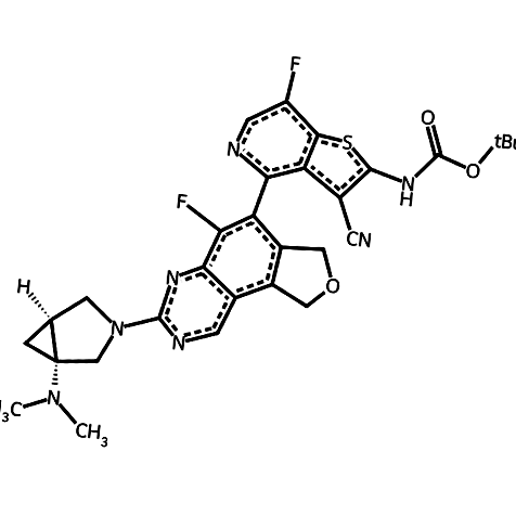 CN(C)[C@]12C[C@H]1CN(c1ncc3c4c(c(-c5ncc(F)c6sc(NC(=O)OC(C)(C)C)c(C#N)c56)c(F)c3n1)COC4)C2